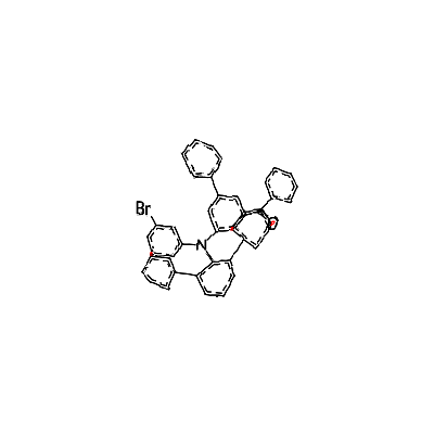 O=C(c1ccccc1)c1cc(-c2ccccc2)cc(N(c2cccc(Br)c2)c2c(-c3ccccc3)cccc2-c2ccccc2)c1